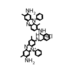 Cc1cc2nc3cc(C)c(NCc4ccccc4CNc4ccc5nc6cc(C)c(N)cc6[n+](-c6ccccc6)c5c4C)cc3[n+](-c3ccccc3)c2cc1N.Cl